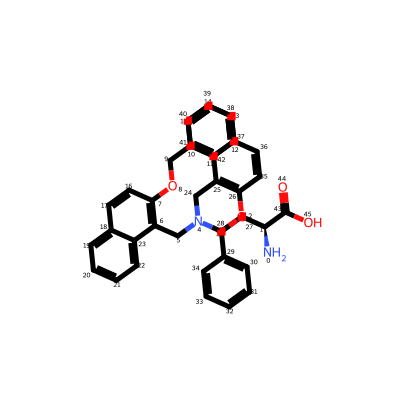 N[C@@H](CCN(Cc1c(OCc2ccccc2)ccc2ccccc12)Cc1c(OCc2ccccc2)ccc2ccccc12)C(=O)O